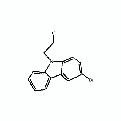 ClCCn1c2ccccc2c2cc(Br)ccc21